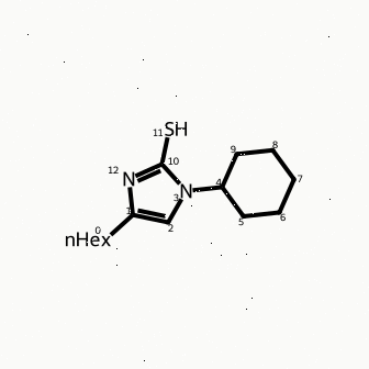 CCCCCCc1cn(C2CCCCC2)c(S)n1